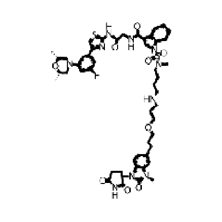 C[C@@H]1CN(c2cc(F)cc(-c3csc(NC(=O)CNC(=O)c4cn(S(=O)(=O)N(C)CCCCNCCCOCCCc5ccc6c(c5)n(C)c(=O)n6C5CCC(=O)NC5=O)c5ccccc45)n3)c2)C[C@H](C)O1